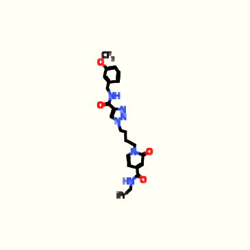 CC(C)CNC(=O)c1ccn(CCCCn2cc(C(=O)NCc3cccc(OC(F)(F)F)c3)nn2)c(=O)c1